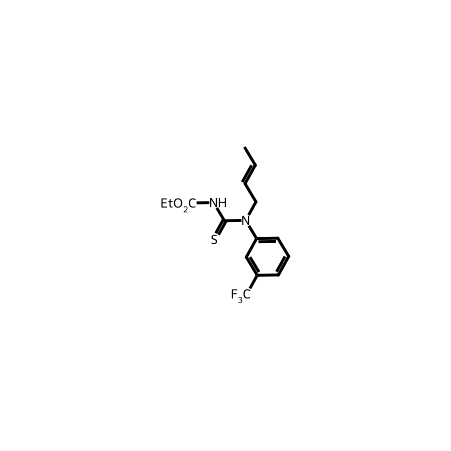 C/C=C/CN(C(=S)NC(=O)OCC)c1cccc(C(F)(F)F)c1